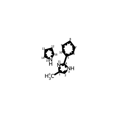 Cc1c[nH]c(-c2ccccc2)n1.c1cc[nH]c1